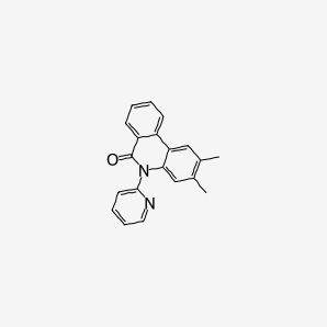 Cc1cc2c3ccccc3c(=O)n(-c3ccccn3)c2cc1C